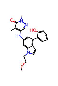 COCCn1ccc2c(-c3ccccc3O)cc(Nc3cnn(C)c(=O)c3C)cc21